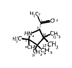 CC(=O)[C@H]1NC(C)(C)C(C)(C)C1(C)C